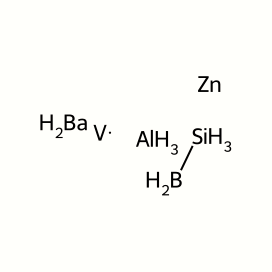 B[SiH3].[AlH3].[BaH2].[V].[Zn]